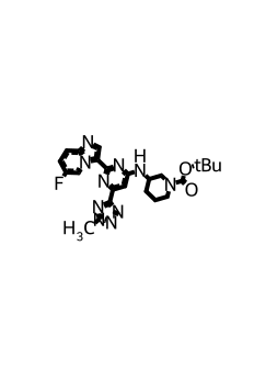 Cn1nnc(-c2cc(NC3CCCN(C(=O)OC(C)(C)C)C3)nc(-c3cnc4ccc(F)cn34)n2)n1